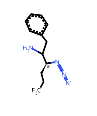 [N-]=[N+]=N[C@@H](CCC(F)(F)F)C(N)Cc1ccccc1